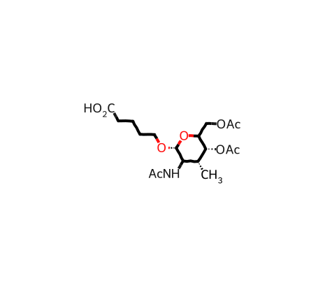 CC(=O)NC1[C@H](OCCCCC(=O)O)OC(COC(C)=O)[C@H](OC(C)=O)[C@@H]1C